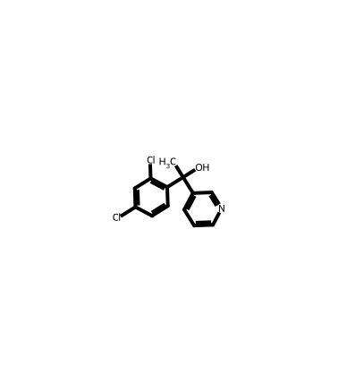 CC(O)(c1cccnc1)c1ccc(Cl)cc1Cl